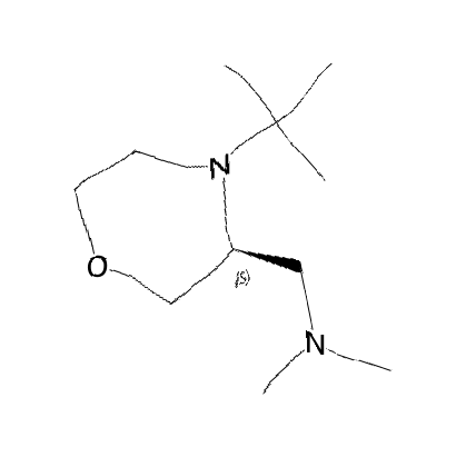 CN(C)C[C@H]1COCCN1C(C)(C)C